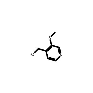 CSc1cnccc1C[O]